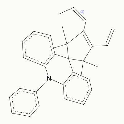 C=CC1=C(/C=C\C)C(C)(C)C2(c3ccccc3N(c3ccccc3)c3ccccc32)C1(C)C